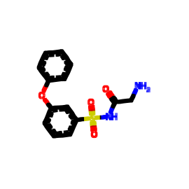 NCC(=O)NS(=O)(=O)c1cccc(Oc2ccccc2)c1